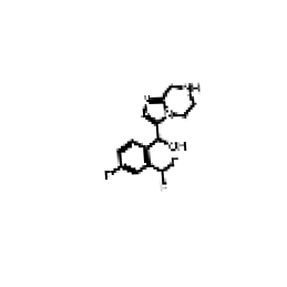 OC(c1ccc(F)cc1C(F)F)c1cnc2n1CCNC2